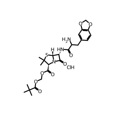 CC(C)(C)C(=O)OCOC(=O)[C@@H]1N2C(=O)[C@@H](NC(=O)C(N)Cc3ccc4c(c3)OCO4)[C@H]2SC1(C)C.Cl